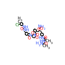 Cc1ccc(NC(=O)NCc2ccc3c(c2)CN(C2CCC(=O)N(C(=O)c4ccccc4CC(Cc4ccc(NC(=O)[C@H](C)NC(=O)C(C)N)cc4)OC(N)=O)C2=O)C3=O)cc1Cl